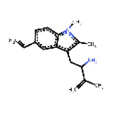 C=Cc1ccc2c(c1)c(CC(N)C(=C)C)c(C)n2C